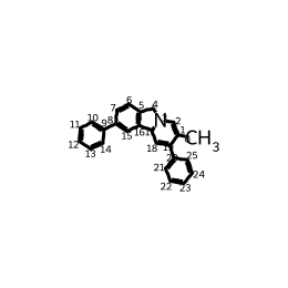 CC1=CN2Cc3ccc(-c4ccccc4)cc3C2C=C1c1ccccc1